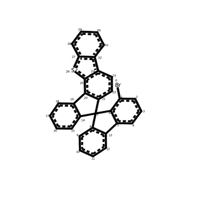 Brc1cccc2c1C1(c3ccccc3-2)c2ccccc2-c2c1ccc1c2sc2ccccc21